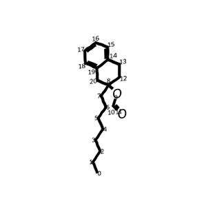 CCCCCCCCC1(OC=O)CCc2ccccc2C1